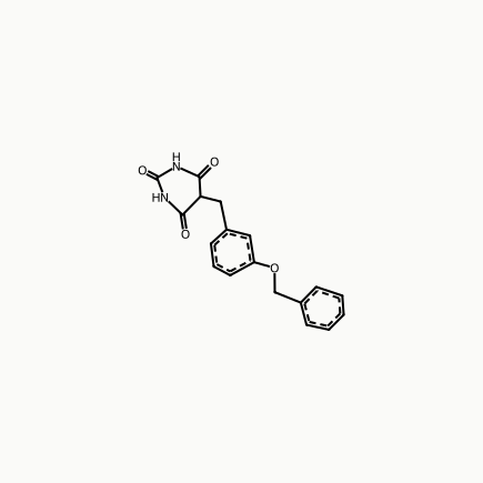 O=C1NC(=O)C(Cc2cccc(OCc3ccccc3)c2)C(=O)N1